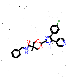 CC1(C(=O)NCc2ccccc2)COC(c2nc(-c3ccc(F)cc3)c(-c3ccncc3)[nH]2)OC1